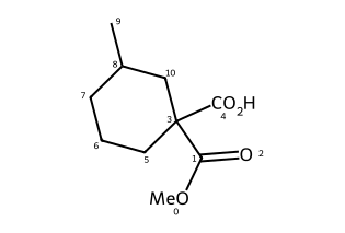 COC(=O)C1(C(=O)O)CCCC(C)C1